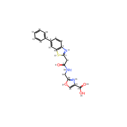 O=C(Cc1nc2ccc(-c3ccccc3)cc2s1)NCc1nc(C(=O)O)co1